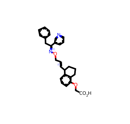 O=C(O)COc1cccc2c1CCCC2/C=C/CO/N=C(/Cc1ccccc1)c1cccnc1